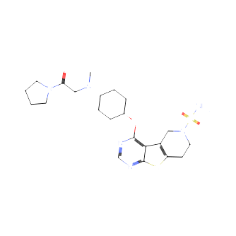 CN(CC(=O)N1CCCC1)[C@H]1CC[C@H](Oc2ncnc3sc4c(c23)CN(S(N)(=O)=O)CC4)CC1